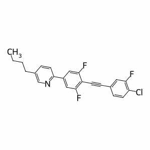 CCCCc1ccc(-c2cc(F)c(C#Cc3ccc(Cl)c(F)c3)c(F)c2)nc1